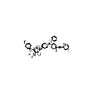 Nc1c(Oc2ccc(F)cc2)ncn(CC2(O)CCN(C(=O)[C@@H]3CC[C@](F)(C#Cc4cc(F)ccn4)C[C@H]3c3ccccc3)CC2)c1=O